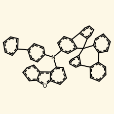 c1ccc(-c2ccc(N(c3ccc4c(c3)C3(c5ccccc5-c5ccccc5-c5ccccc53)c3ccccc3-4)c3cccc4oc5ccccc5c34)cc2)cc1